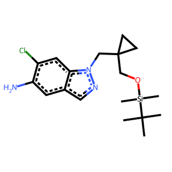 CC(C)(C)[Si](C)(C)OCC1(Cn2ncc3cc(N)c(Cl)cc32)CC1